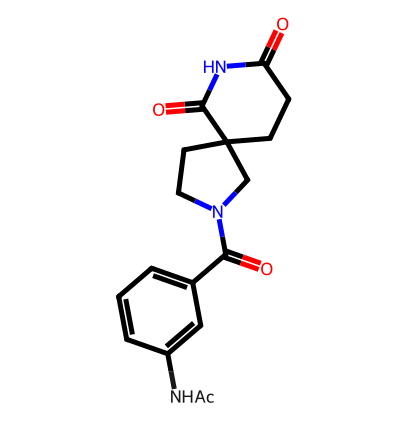 CC(=O)Nc1cccc(C(=O)N2CCC3(CCC(=O)NC3=O)C2)c1